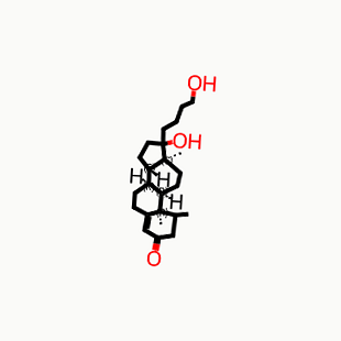 CC1CC(=O)C=C2CC[C@@H]3[C@@H](CC[C@@]4(C)[C@H]3CCC4(O)CCCCO)[C@]21C